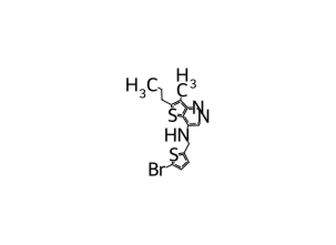 CCCc1sc2c(NCc3ccc(Br)s3)cnnc2c1C